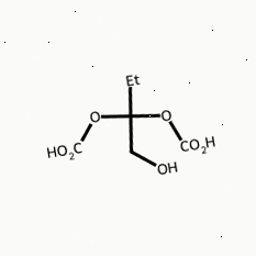 CCC(CO)(OC(=O)O)OC(=O)O